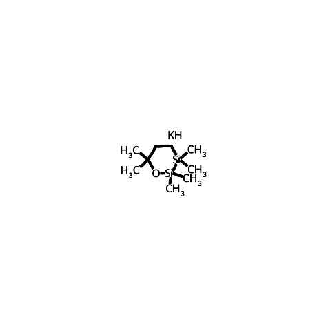 CC1(C)CC[Si](C)(C)[Si](C)(C)O1.[KH]